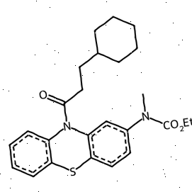 CCOC(=O)N(C)c1ccc2c(c1)N(C(=O)CCC1CCCCC1)c1ccccc1S2